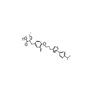 CCOC(Cc1ccc(OCCCc2csc(-c3ccc(C(C)C)cc3)n2)c(F)c1)C(=O)O